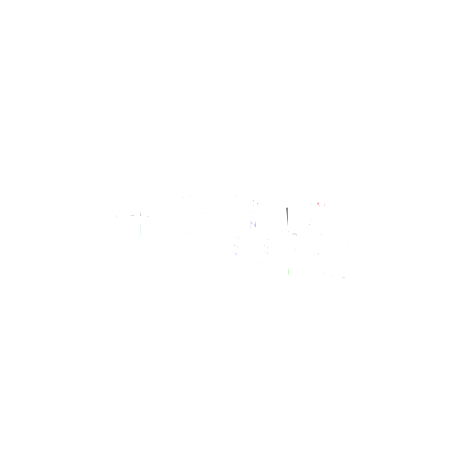 C[C@](Cc1ccccc1)(C(=O)O)c1c(Cl)cnc2c(-c3ccc(C(F)(F)F)cc3)cnn12